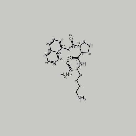 NCCCCC(NC(=O)C1CCCN1C(=O)Cc1cccc2ccccc12)C(N)=O